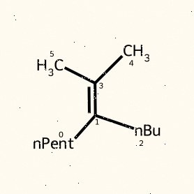 CCCCCC(CCCC)=C(C)C